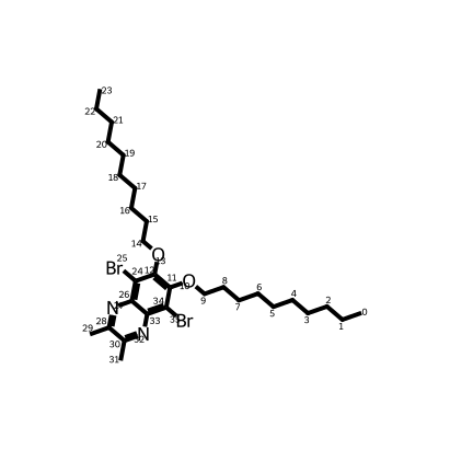 CCCCCCCCCCOc1c(OCCCCCCCCCC)c(Br)c2nc(C)c(C)nc2c1Br